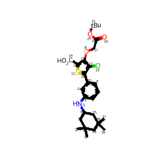 CC1(C)CC(Nc2cccc(-c3sc(C(=O)O)c(OCC(=O)OC(C)(C)C)c3Cl)c2)CC(C)(C)C1